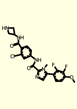 COc1ccc(-c2cnc(C(=O)Nc3ccc(C(=O)NC4CNC4)c(Cl)c3)n2C)c(F)c1F